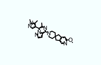 COc1cc2c(cn1)CC1(CCN(c3nc(C)c(-c4cnn(C)c4C)n4nccc34)CC1)C2